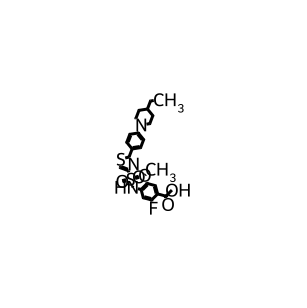 CCC1CCN(c2ccc(-c3nc(S(=O)(=O)Nc4cc(F)c(C(=O)O)cc4OC)cs3)cc2)CC1